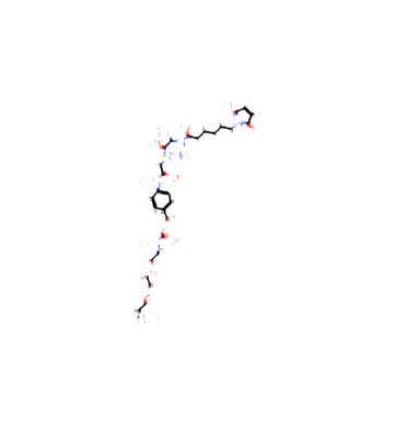 CC(C)C(NC(=O)CCCCCN1C(=O)C=CC1=O)C(=O)NCC(=O)Nc1ccc(COC(=O)NCCOCCOCCN=O)cc1